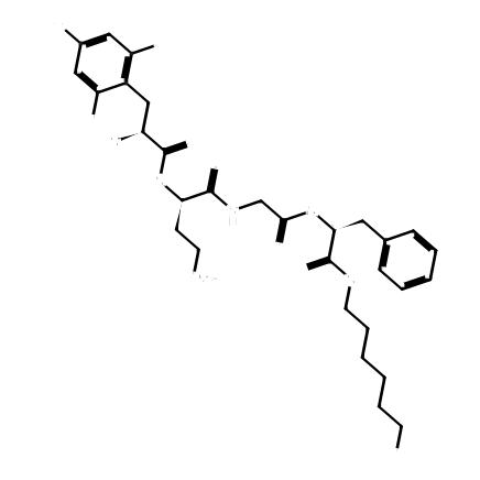 CSCC[C@@H](NC(=O)[C@@H](N)Cc1c(C)cc(O)cc1C)C(=O)NCC(=O)N[C@@H](Cc1ccccc1)C(=O)NCCCCCCO.Cl.O